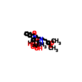 COc1ccc(CCCNCCCN(C(=O)c2ccc3c(c2)CCCC3)c2ccccc2OCC(C)C)cc1OC.O=C(O)C(=O)O